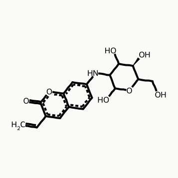 C=Cc1cc2ccc(NC3C(O)OC(CO)[C@H](O)C3O)cc2oc1=O